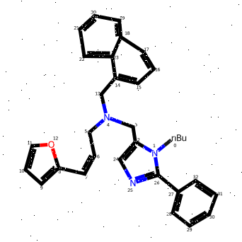 CCCCn1c(CN(C/C=C\c2ccco2)Cc2cccc3ccccc23)cnc1-c1ccccc1